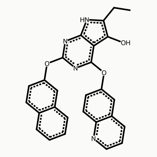 CCc1[nH]c2nc(Oc3ccc4ccccc4c3)nc(Oc3ccc4ncccc4c3)c2c1O